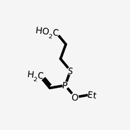 C=CP(OCC)SCCC(=O)O